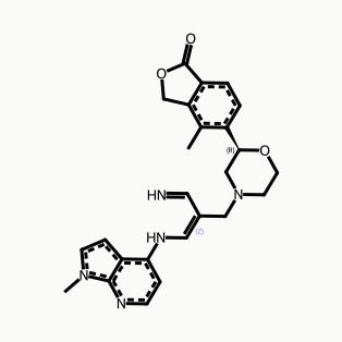 Cc1c([C@@H]2CN(C/C(C=N)=C/Nc3ccnc4c3ccn4C)CCO2)ccc2c1COC2=O